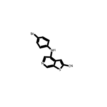 N#Cc1cc2c(Nc3ccc(Br)cc3)cncc2s1